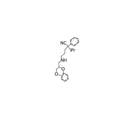 CC(C)C(C#N)(CCCNCC1COc2ccccc2O1)c1ccccc1